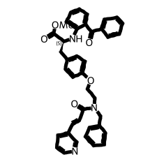 COC(=O)[C@H](Cc1ccc(OCCN(Cc2ccccc2)C(=O)C=Cc2cccnc2)cc1)Nc1ccccc1C(=O)c1ccccc1